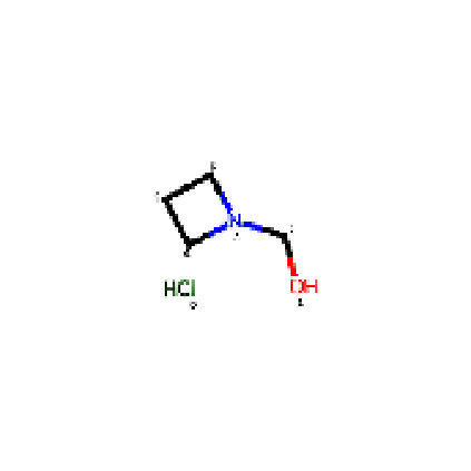 Cl.OCN1CCC1